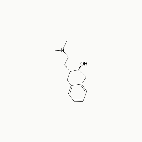 CN(C)CC[C@H]1Cc2ccccc2C[C@@H]1O